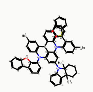 CC(C)(C)c1ccc2c(c1)B1c3ccc4c(sc5ccccc54)c3N(c3ccc(C(C)(C)C)cc3-c3ccccc3)c3cc(N4c5ccccc5C5(C)CCCCC45C)cc(c31)N2c1cccc2c1oc1ccccc12